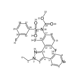 CCn1cc(-c2ccncc2)c(-c2c(F)ccc(N(C(=O)OC)S(=O)(=O)c3cccc(F)c3)c2F)n1